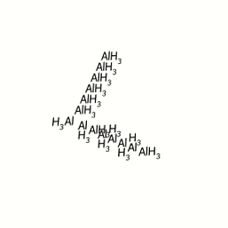 [AlH3].[AlH3].[AlH3].[AlH3].[AlH3].[AlH3].[AlH3].[AlH3].[AlH3].[AlH3].[AlH3].[AlH3].[AlH3].[AlH3]